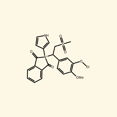 CCOc1cc(C(CS(C)(=O)=O)[N+]2(c3cc[nH]c3)C(=O)c3ccccc3C2=O)ccc1OC